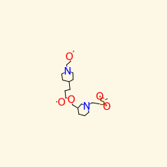 COCCN1CCC(CCC([O])OCC2CCCN(CCS(C)(=O)=O)C2)CC1